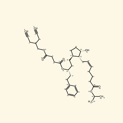 C#CCC(CC#C)COC(=O)CCC(=O)O[C@@H](CCc1ccccc1)CC[C@H]1CC[C@H](O)[C@@H]1C/C=C\CCCC(=O)OC(C)C